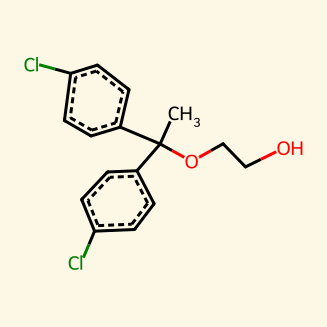 CC(OCCO)(c1ccc(Cl)cc1)c1ccc(Cl)cc1